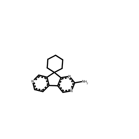 Nc1ncc2c(n1)C1(CCCCC1)c1cnccc1-2